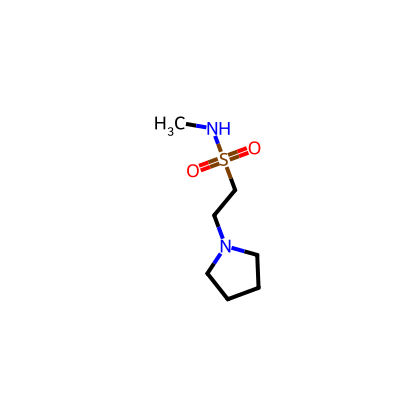 CNS(=O)(=O)CCN1CCCC1